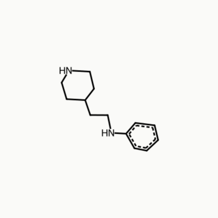 c1ccc(NCCC2CCNCC2)cc1